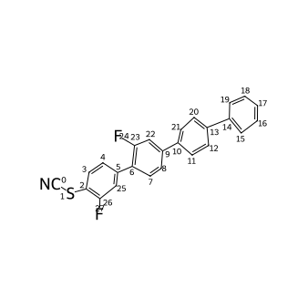 N#CSc1ccc(-c2ccc(-c3ccc(-c4ccccc4)cc3)cc2F)cc1F